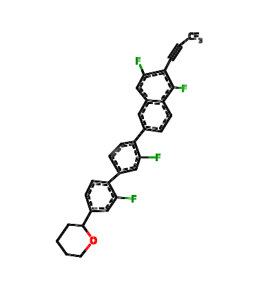 Fc1cc(-c2ccc(C3CCCCO3)cc2F)ccc1-c1ccc2c(F)c(C#CC(F)(F)F)c(F)cc2c1